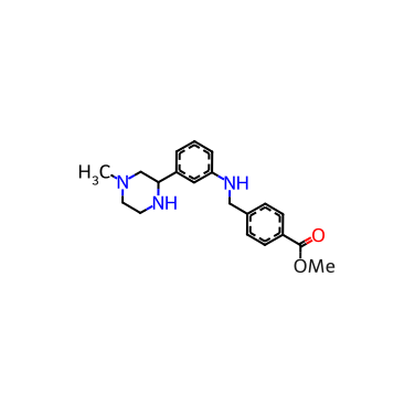 COC(=O)c1ccc(CNc2cccc(C3CN(C)CCN3)c2)cc1